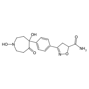 NC(=O)C1CC(c2ccc(C3(O)CCN(O)CCC3=O)cc2)=NO1